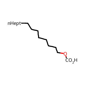 CCCCCCCCCCCCCCCOC(=O)O